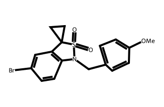 COc1ccc(CN2c3ccc(Br)cc3C3(CC3)S2(=O)=O)cc1